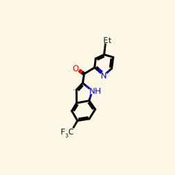 CCc1ccnc(C(=O)c2[c]c3cc(C(F)(F)F)ccc3[nH]2)c1